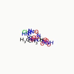 CNC(=O)COc1cc2cc(Nc3nc(N4CCC(O[C@H]5C[C@@H](N6CCC(c7ccc8c(c7)C(=O)N(C7CCC(=O)NC7=O)C8=O)CC6)C5)CC4)ncc3Cl)ccc2n(C(C)C)c1=O